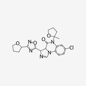 CC1(N2C(=O)C3C(c4nc(C5CCCO5)no4)N=CN3c3ccc(Cl)cc32)CCCO1